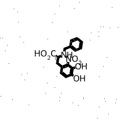 O=C(O)[C@H](Cc1ccc(O)c(O)c1[N+](=O)[O-])NCc1ccccc1